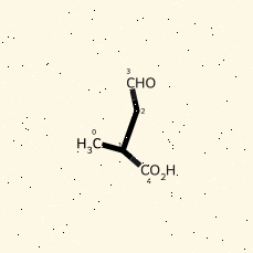 CC(CC=O)C(=O)O